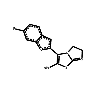 CCCC1=C(c2cc3ccc(F)cc3s2)N2CCN=C2S1